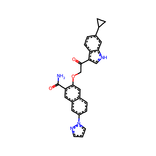 NC(=O)c1cc2cc(-n3cccn3)ccc2cc1OCC(=O)c1c[nH]c2cc(C3CC3)ccc12